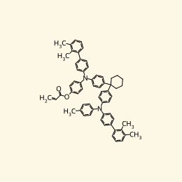 C=CC(=O)Oc1ccc(N(c2ccc(-c3cccc(C)c3C)cc2)c2ccc(C3(c4ccc(N(c5ccc(C)cc5)c5ccc(-c6cccc(C)c6C)cc5)cc4)CCCCC3)cc2)cc1